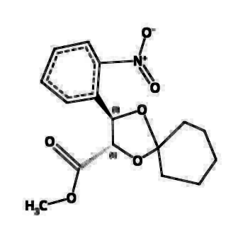 COC(=O)[C@H]1OC2(CCCCC2)O[C@@H]1c1ccccc1[N+](=O)[O-]